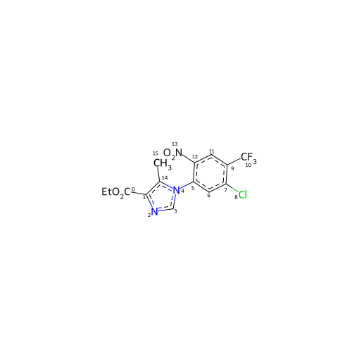 CCOC(=O)c1ncn(-c2cc(Cl)c(C(F)(F)F)cc2[N+](=O)[O-])c1C